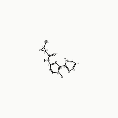 CCC1C[C@@H]1C(=O)Nc1ccc(C)c(-c2ccccn2)c1